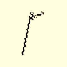 CCCCCCCCCCCCCCCCC(C)(C)C(=O)OCCBr